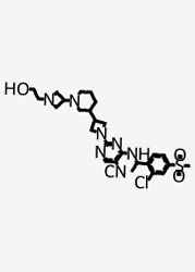 CC(Nc1nc(N2CC(C3CCCN(C4CN(CCO)C4)C3)C2)ncc1C#N)c1ccc(S(C)(=O)=O)cc1Cl